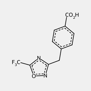 O=C(O)c1ccc(Cc2noc(C(F)(F)F)n2)cc1